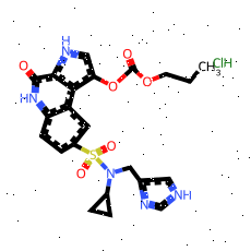 CCCOC(=O)Oc1c[nH]c2c(=O)[nH]c3ccc(S(=O)(=O)N(Cc4c[nH]cn4)C4CC4)cc3c12.Cl